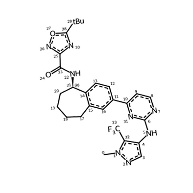 Cn1ncc(Nc2nccc(-c3ccc4c(c3)CCCC[C@H]4NC(=O)c3noc(C(C)(C)C)n3)n2)c1C(F)(F)F